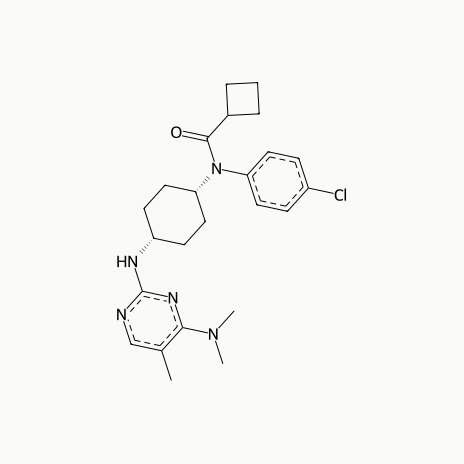 Cc1cnc(N[C@H]2CC[C@@H](N(C(=O)C3CCC3)c3ccc(Cl)cc3)CC2)nc1N(C)C